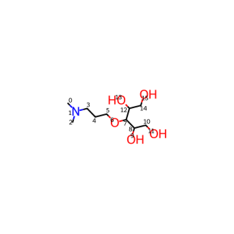 CN(C)CCCOC(C(O)CO)C(O)CO